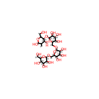 CC1C(O)OC(CO)[C@@H](O[C@@H]2OC(CO[C@H]3OC(CO[C@H]4OC(CO)[C@@H](O)[C@H](O)C4O)[C@@H](O)[C@H](O)C3O)[C@@H](O)[C@H](O)C2O)[C@@H]1O